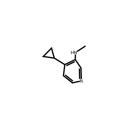 CNc1cnccc1C1CC1